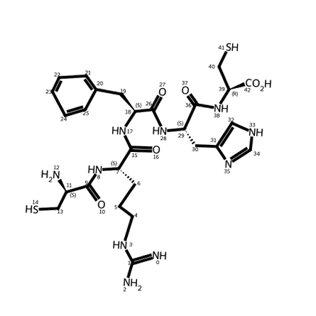 N=C(N)NCCC[C@H](NC(=O)[C@H](N)CS)C(=O)N[C@@H](Cc1ccccc1)C(=O)N[C@@H](Cc1c[nH]cn1)C(=O)N[C@@H](CS)C(=O)O